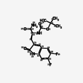 CC(C)(C)OC(=O)N[C@@H](Cc1cc2cc(F)c(F)cc2[nH]c1=O)C(N)=O